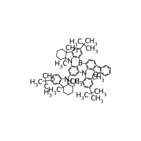 Cc1cc(C(C)(C)C)cc(C)c1N1c2cc(N3c4ccc(C(C)(C)C)cc4C4(C)CCCCC34C)cc3c2B(c2cc(C(C)(C)C)cc4c2N3C2(C)CCCCC42C)c2ccc3c(oc4ccccc43)c21